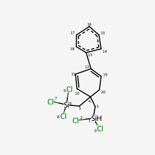 Cl[SiH](Cl)CC1(C[Si](Cl)(Cl)Cl)C=CC(c2ccccc2)=CC1